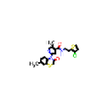 Cc1ccc2c(c1)SCC(=O)N2c1cc(C(=O)NCCc2sccc2Cl)c(C)cn1